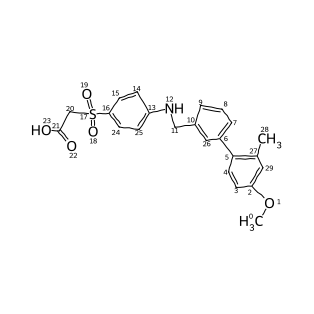 COc1ccc(-c2cccc(CNc3ccc(S(=O)(=O)CC(=O)O)cc3)c2)c(C)c1